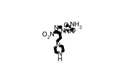 NS(=O)(=O)Nn1cnc([N+](=O)[O-])c1CCN1CCNCC1